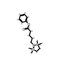 C[Si]1(C)CC[Si](C)(C)N1CCCCC(=O)Oc1ccccc1